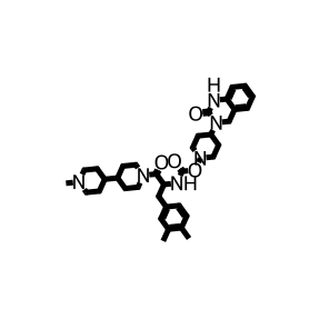 Cc1ccc(CC(NC(=O)ON2CCC(N3Cc4ccccc4NC3=O)CC2)C(=O)N2CCC(C3CCN(C)CC3)CC2)cc1C